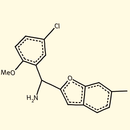 COc1ccc(Cl)cc1C(N)c1cc2ccc(C)cc2o1